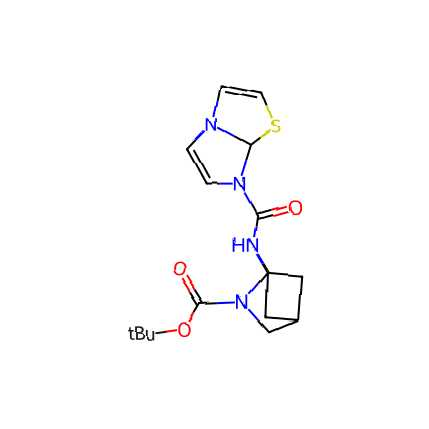 CC(C)(C)OC(=O)N1CC2CC1(NC(=O)N1C=CN3C=CSC31)C2